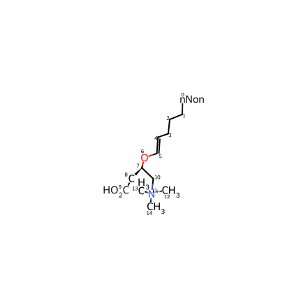 CCCCCCCCCCCCC=CO[C@H](CC(=O)O)C[N+](C)(C)C